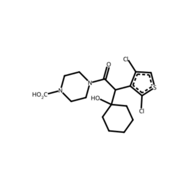 O=C(O)N1CCN(C(=O)C(c2c(Cl)csc2Cl)C2(O)CCCCC2)CC1